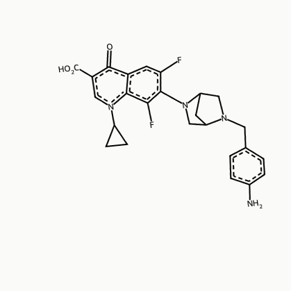 Nc1ccc(CN2CC3CC2CN3c2c(F)cc3c(=O)c(C(=O)O)cn(C4CC4)c3c2F)cc1